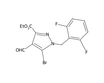 CCOC(=O)c1nn(Cc2c(F)cccc2F)c(Br)c1C=O